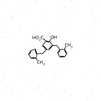 Cc1ccccc1Cc1cc(Cc2ccccc2C)c(O)c(C(=O)O)c1